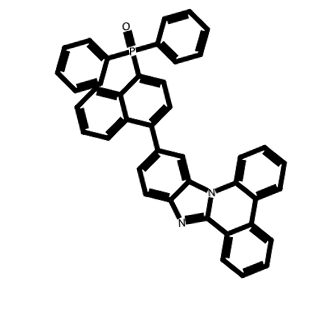 O=P(c1ccccc1)(c1ccccc1)c1ccc(-c2ccc3nc4c5ccccc5c5ccccc5n4c3c2)c2ccccc12